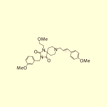 COCCN1C(=O)N(Cc2cccc(OC)c2)C(=O)C12CCN(C/C=C/c1ccc(OC)cc1)CC2